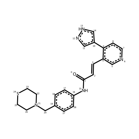 O=C(/C=C/c1cnccc1-c1cn[nH]c1)Nc1ccc(CN2CCSCC2)cc1